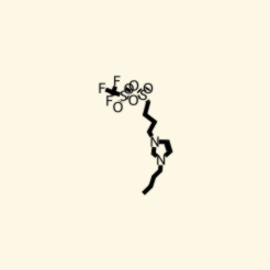 CCCCN1C=CN(CCCCS(=O)(=O)OS(=O)(=O)C(F)(F)F)C1